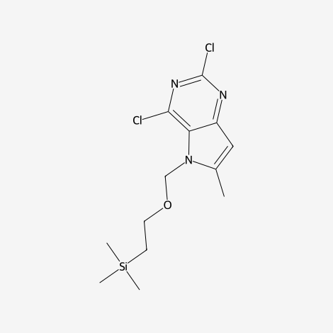 Cc1cc2nc(Cl)nc(Cl)c2n1COCC[Si](C)(C)C